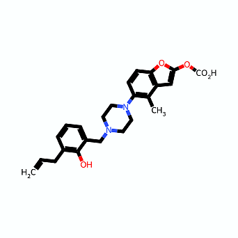 C=CCc1cccc(CN2CCN(c3ccc4oc(OC(=O)O)cc4c3C)CC2)c1O